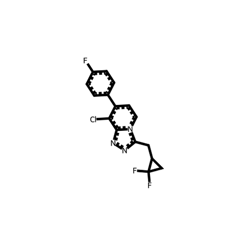 Fc1ccc(-c2ccn3c(CC4CC4(F)F)nnc3c2Cl)cc1